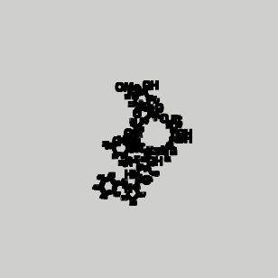 CC[C@H]1OC(=O)[C@H](C)[C@@H](O[C@H]2C[C@@](C)(OC)[C@@H](O)[C@H](C)O2)[C@H](C)[C@@H](O[C@@H]2O[C@H](C)C[C@H](N(C)C[C@H](NC(=O)C3CCCN3Cc3ccccc3)[C@H](C)O)[C@H]2O)[C@](C)(O)C[C@@H](C)CN(C)[C@H](C)[C@@H](O)[C@]1(C)O